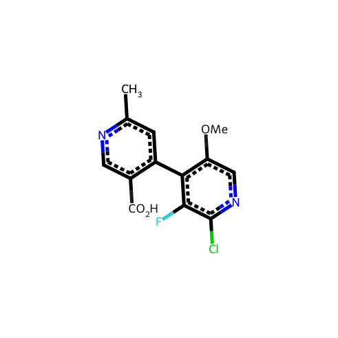 COc1cnc(Cl)c(F)c1-c1cc(C)ncc1C(=O)O